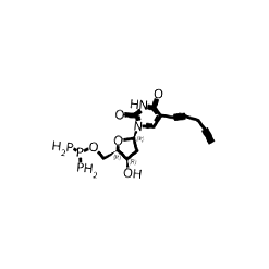 C#CCC#Cc1cn([C@H]2C[C@@H](O)[C@@H](COP(P)P)O2)c(=O)[nH]c1=O